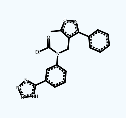 CCC(=O)N(Cc1c(-c2ccccc2)noc1C)c1cccc(-c2nnn[nH]2)c1